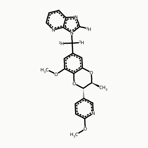 [2H]c1nc2cccnc2n1C([2H])([2H])c1cc(OC)c2c(c1)O[C@@H](C)[C@H](c1ccc(OC)nc1)O2